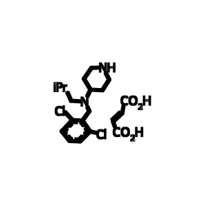 CC(C)CN(Cc1c(Cl)cccc1Cl)C1CCNCC1.O=C(O)/C=C/C(=O)O